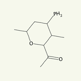 CC(=O)C1OC(C)CC(P)C1C